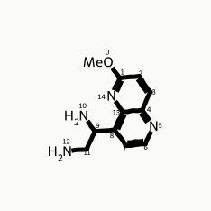 COc1ccc2nccc(C(N)CN)c2n1